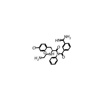 N=C(N)c1cccc(C(=O)N(C(=O)[C@H](Cc2ccc(Cl)cc2)NC(=O)CN)c2ccccc2)c1